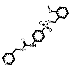 COc1ccccc1CNS(=O)(=O)c1ccc(NC(=O)NCc2ccncc2)cc1